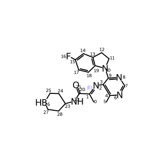 C/C(=N\c1c(C)ncnc1N1CCc2cc(F)ccc21)C(=O)NC1CCBCC1